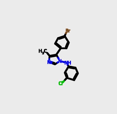 Cc1ncn(Nc2cccc(Cl)c2)c1-c1ccc(Br)cc1